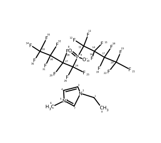 CCn1cc[n+](C)c1.O=P([O-])(C(F)(F)C(F)(F)C(F)(F)C(F)(F)F)C(F)(F)C(F)(F)C(F)(F)C(F)(F)F